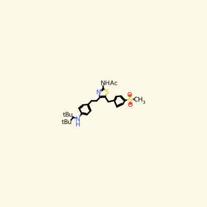 CC(=O)Nc1nc(CCc2ccc(NC(C(C)(C)C)C(C)(C)C)cc2)c(Cc2ccc(S(C)(=O)=O)cc2)s1